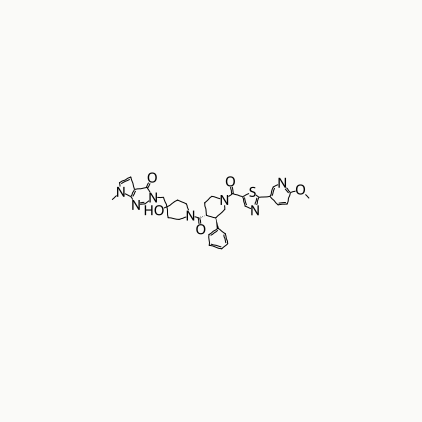 COc1ccc(-c2ncc(C(=O)N3CC[C@@H](C(=O)N4CCC(O)(Cn5cnc6c(ccn6C)c5=O)CC4)[C@H](c4ccccc4)C3)s2)cn1